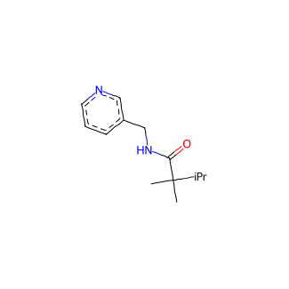 CC(C)C(C)(C)C(=O)NCc1cccnc1